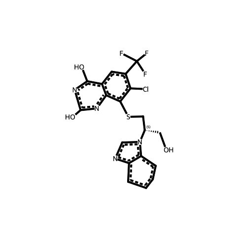 OC[C@@H](CSc1c(Cl)c(C(F)(F)F)cc2c(O)nc(O)nc12)n1cnc2ccccc21